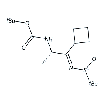 C[C@H](NC(=O)OC(C)(C)C)/C(=N/[S+]([O-])C(C)(C)C)C1CCC1